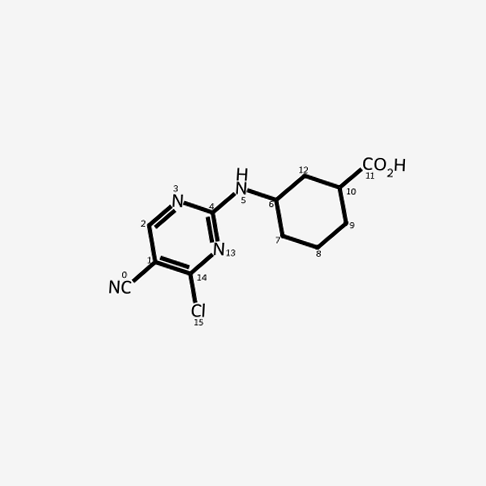 N#Cc1cnc(NC2CCCC(C(=O)O)C2)nc1Cl